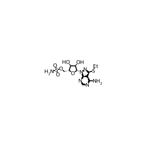 CCSc1nn([C@@H]2O[C@H](COS(N)(=O)=O)[C@@H](O)[C@H]2O)c2ncnc(N)c12